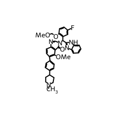 COCOc1ccc(F)cc1C(c1nc2ccccc2[nH]1)n1cnc2ccc(-c3ccc(C4CCN(C)CC4)cc3)c(OC)c2c1=O